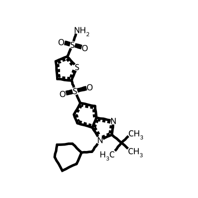 CC(C)(C)c1nc2cc(S(=O)(=O)c3ccc(S(N)(=O)=O)s3)ccc2n1CC1CCCCC1